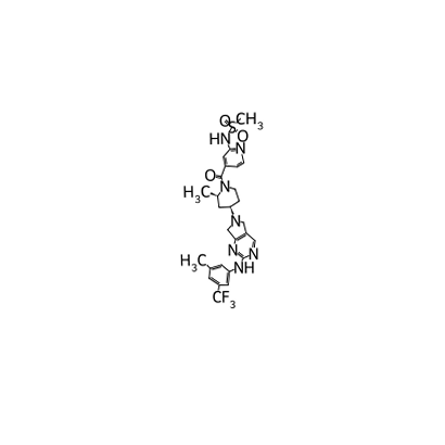 Cc1cc(Nc2ncc3c(n2)CN([C@@H]2CCN(C(=O)c4ccnc(NS(C)(=O)=O)c4)[C@H](C)C2)C3)cc(C(F)(F)F)c1